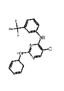 FC(F)(F)c1cccc(Nc2nc(NC3C=CC=CC3)ncc2Cl)c1